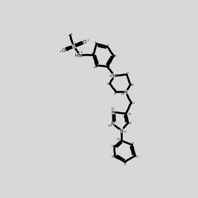 CS(=O)(=O)Nc1cccc(N2CCN(Cc3cn(-c4ccccc4)nn3)CC2)c1